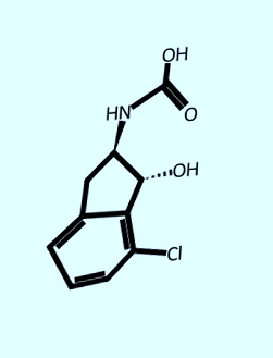 O=C(O)N[C@@H]1Cc2cccc(Cl)c2[C@H]1O